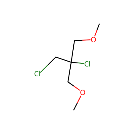 COCC(Cl)(CCl)COC